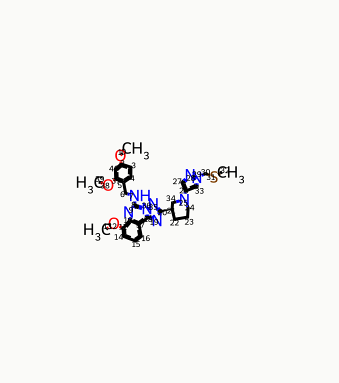 COc1ccc(CNc2nc3c(OC)cccc3c3nc([C@@H]4CCCN(c5cnn(CSC)c5)C4)nn23)c(OC)c1